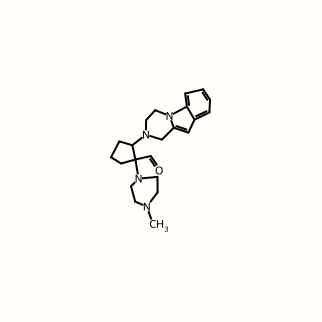 CN1CCN(C2(C=O)CCCC2N2CCn3c(cc4ccccc43)C2)CC1